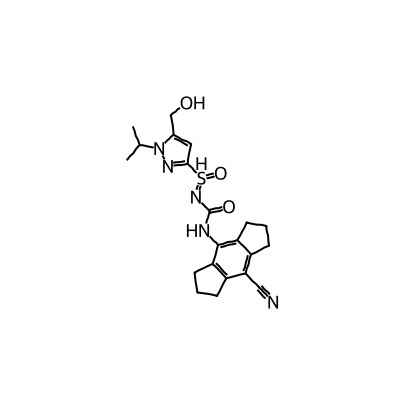 CC(C)n1nc([SH](=O)=NC(=O)Nc2c3c(c(C#N)c4c2CCC4)CCC3)cc1CO